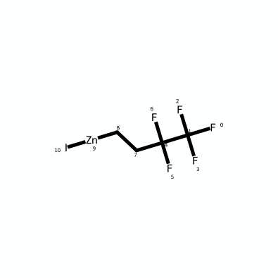 FC(F)(F)C(F)(F)C[CH2][Zn][I]